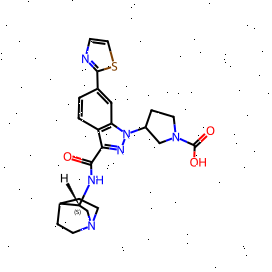 O=C(N[C@@H]1CN2CCC1CC2)c1nn(C2CCN(C(=O)O)C2)c2cc(-c3nccs3)ccc12